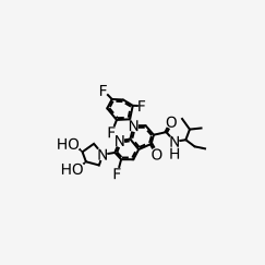 CCC(NC(=O)c1cn(-c2c(F)cc(F)cc2F)c2nc(N3C[C@@H](O)[C@@H](O)C3)c(F)cc2c1=O)C(C)C